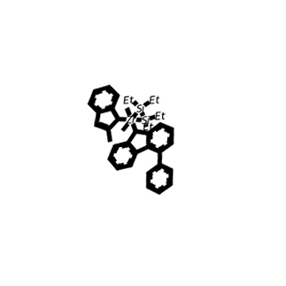 CC[Si]1(CC)[Si](CC)(CC)[Zr]1([CH3])([CH3])([CH]1C(C)=Cc2ccccc21)[CH]1c2ccccc2-c2c(-c3ccccc3)cccc21